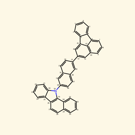 c1ccc2c(c1)-c1cccc3cc(-c4ccc5cc(-n6c7ccccc7c7ccc8ccccc8c76)ccc5c4)cc-2c13